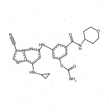 N#Cc1cnc2c(NC3CC3)cc(Nc3cc(OC(N)=O)cc(C(=O)NC4CCOCC4)c3)nn12